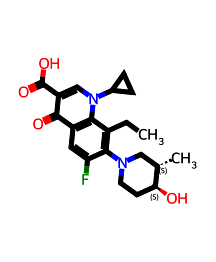 CCc1c(N2CC[C@H](O)[C@@H](C)C2)c(F)cc2c(=O)c(C(=O)O)cn(C3CC3)c12